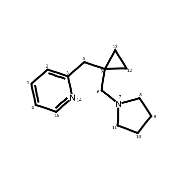 c1ccc(CC2(CN3CCCC3)CC2)nc1